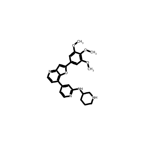 COc1cc(-c2cc3nccc(-c4ccnc(NC5CCCNC5)c4)c3o2)cc(OC)c1OC